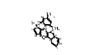 Cc1cc(C)c(N2C3=C(Oc4ccsc42)C2C=CC=CC2O3)c(C)c1